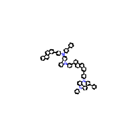 C1=C2c3ccccc3N(c3cccc(-c4cccc5c4ccc4c6cc(-c7ccc(N(c8ccc(-c9ccccc9)cc8)c8cccc9c8c8ccccc8n9-c8ccccc8)cc7)ccc6ccc54)c3)C2CC=C1N(c1ccc(-c2ccccc2)cc1)c1ccc(-c2ccc3ccc4c5ccccc5ccc4c3c2)cc1